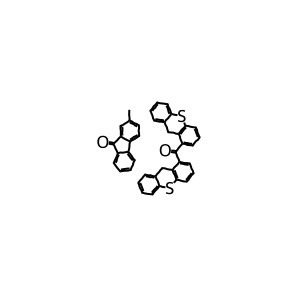 Cc1ccc2c(c1)C(=O)c1ccccc1-2.O=C(c1cccc2c1Cc1ccccc1S2)c1cccc2c1Cc1ccccc1S2